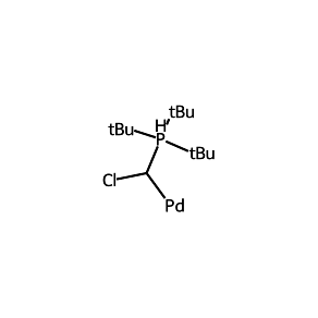 CC(C)(C)[PH]([CH](Cl)[Pd])(C(C)(C)C)C(C)(C)C